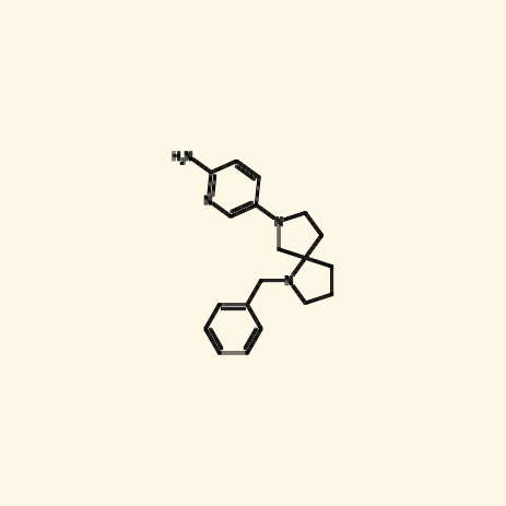 Nc1ccc(N2CCC3(CCCN3Cc3ccccc3)C2)cn1